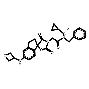 C[C@@H](C1CC1)N(Cc1ccccc1)C(=O)CN1C(=O)OC2(CCc3cc(NC4COC4)ccc32)C1=O